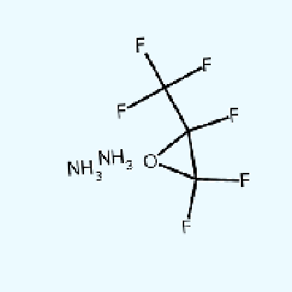 FC(F)(F)C1(F)OC1(F)F.N.N